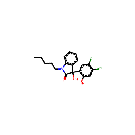 CCCCCN1C(=O)C(O)(c2cc(F)c(Cl)cc2O)c2ccccc21